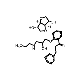 CCCNCC(O)COc1ccccc1C(=O)CCc1ccccc1.O[C@@H]1CO[C@H]2[C@@H]1OC[C@@H]2O